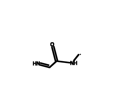 [CH2]NC(=O)C=N